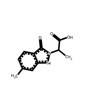 Cc1ccc2c(=O)n(C(C)C(=O)O)[se]c2c1